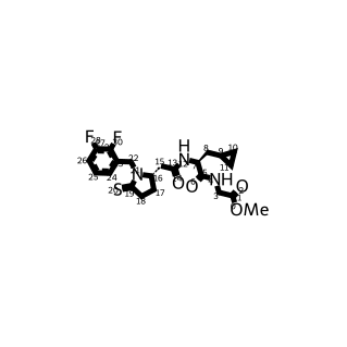 COC(=O)CNC(=O)[C@H](CC1CC1)NC(=O)C[C@@H]1CCC(=S)N1Cc1cccc(F)c1F